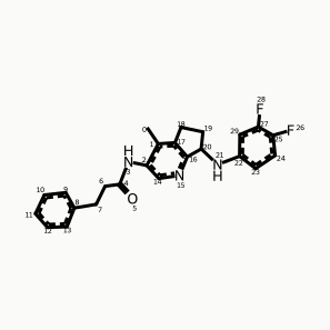 Cc1c(NC(=O)CCc2ccccc2)cnc2c1CCC2Nc1ccc(F)c(F)c1